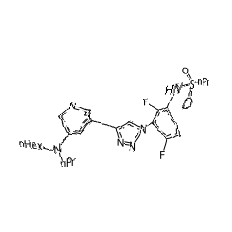 CCCCCCN(CCC)c1cncc(-c2cn(-c3c(F)ccc(NS(=O)(=O)CCC)c3F)nn2)c1